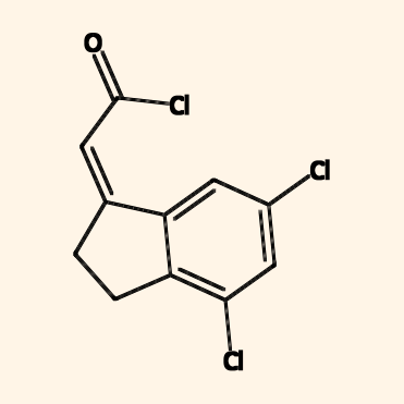 O=C(Cl)/C=C1/CCc2c(Cl)cc(Cl)cc21